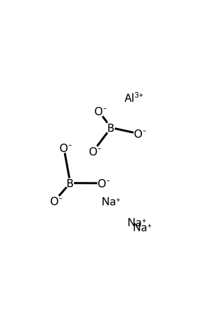 [Al+3].[Na+].[Na+].[Na+].[O-]B([O-])[O-].[O-]B([O-])[O-]